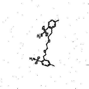 Cc1ccc(S(N)(=O)=O)c(CCOCCOCCc2cc(C)ccc2S(N)(=O)=O)c1